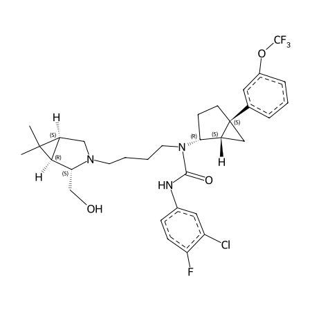 CC1(C)[C@@H]2[C@@H](CO)N(CCCCN(C(=O)Nc3ccc(F)c(Cl)c3)[C@@H]3CC[C@]4(c5cccc(OC(F)(F)F)c5)C[C@H]34)C[C@@H]21